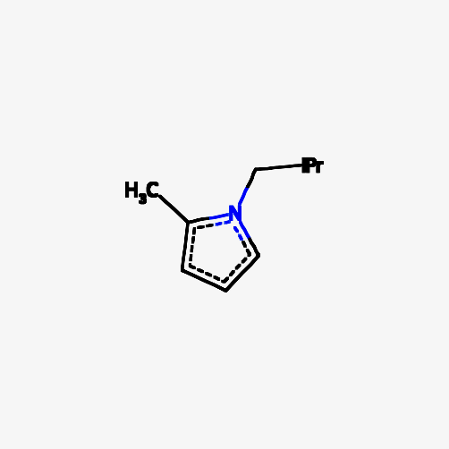 Cc1cccn1CC(C)C